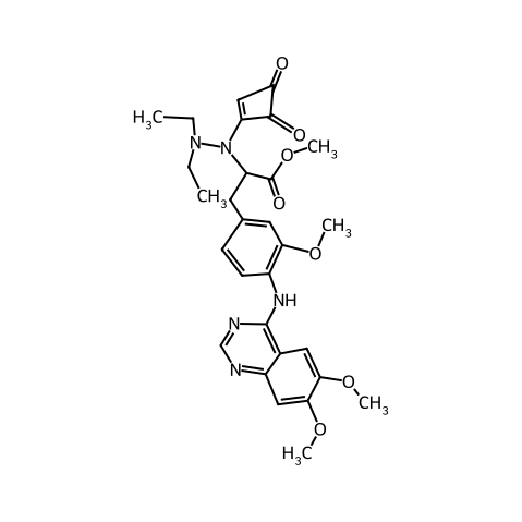 CCN(CC)N(c1cc(=O)c1=O)C(Cc1ccc(Nc2ncnc3cc(OC)c(OC)cc23)c(OC)c1)C(=O)OC